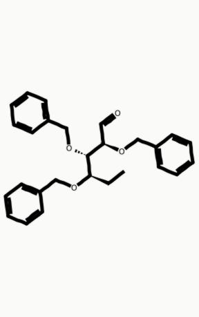 CC[C@@H](OCc1ccccc1)[C@H](OCc1ccccc1)[C@@H](C=O)OCc1ccccc1